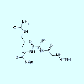 CNC(=O)[C@H](CCCNC(N)=O)NC(=O)[C@@H](NC(=O)CNN=N)C(C)C